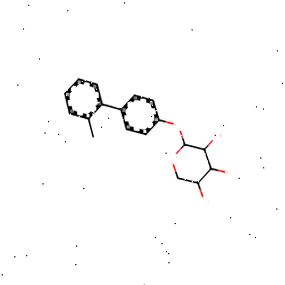 Cc1ccccc1-c1ccc(OC2OCC(O)C(O)C2O)cc1